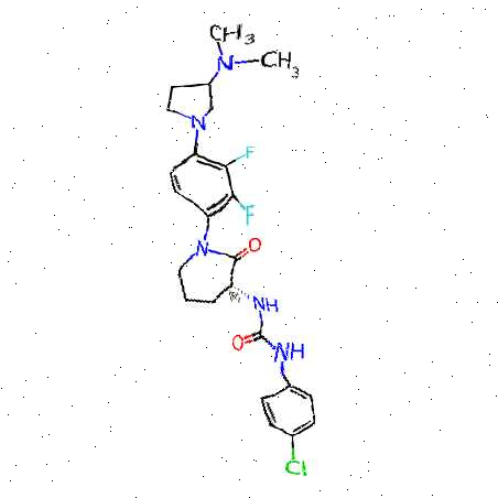 CN(C)C1CCN(c2ccc(N3CCC[C@@H](NC(=O)Nc4ccc(Cl)cc4)C3=O)c(F)c2F)C1